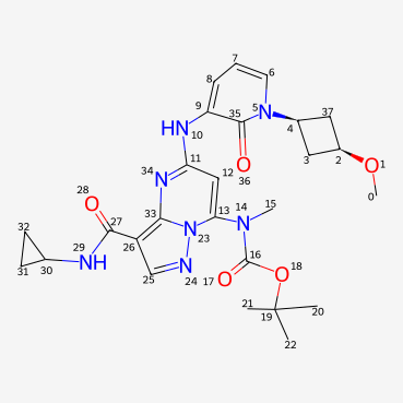 CO[C@H]1C[C@@H](n2cccc(Nc3cc(N(C)C(=O)OC(C)(C)C)n4ncc(C(=O)NC5CC5)c4n3)c2=O)C1